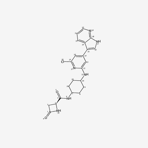 O=C1C[C@@H](C(=O)NC2CCC(Nc3cc(-c4c[nH]c5ncccc45)cc(Cl)n3)CC2)N1